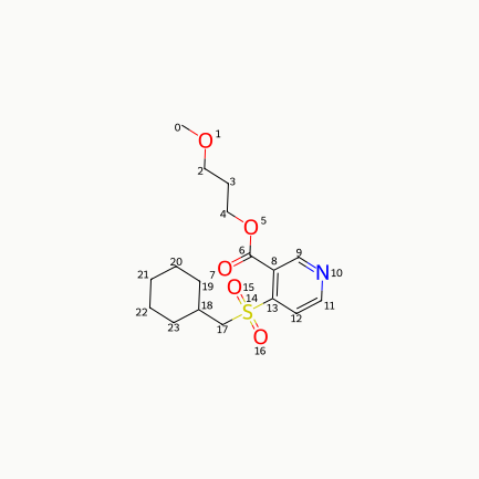 COCCCOC(=O)c1cnccc1S(=O)(=O)CC1CCCCC1